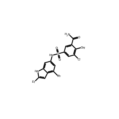 CCc1cc2c(C(C)C)cc(NS(=O)(=O)c3cc(Cl)c(O)c(C(N)=O)c3)cc2[nH]1